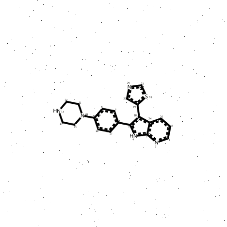 c1cnc2[nH]c(-c3ccc(N4CCNCC4)cc3)c(-c3cncs3)c2c1